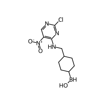 O=[N+]([O-])c1cnc(Cl)nc1NCC1CCC(BO)CC1